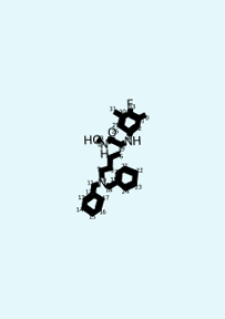 Cc1cc(N[C@H](CCCCN(Cc2ccccc2)Cc2ccccc2)C(=O)NO)cc(C)c1F